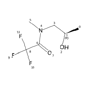 C[C@@H](O)CN(C)C(=O)C(F)(F)F